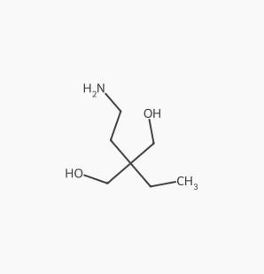 CCC(CO)(CO)CCN